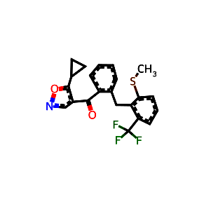 CSc1cccc(C(F)(F)F)c1Cc1ccccc1C(=O)c1cnoc1C1CC1